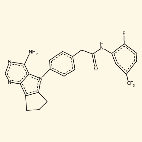 Nc1ncnc2c3c(n(-c4ccc(CC(=O)Nc5cc(C(F)(F)F)ccc5F)cc4)c12)CCC3